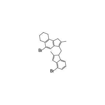 CC1=Cc2c(Br)cccc2C1CC1=C(C)Cc2c1cc(Br)c1c2CCCC1